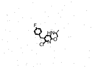 C[C@H]1COc2nc(Cl)c(Cc3ccc(F)cc3)cc2N1